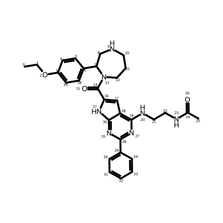 CCOc1ccc(C2CNCCCN2C(=O)c2cc3c(NCCNC(C)=O)nc(-c4ccccc4)nc3[nH]2)cc1